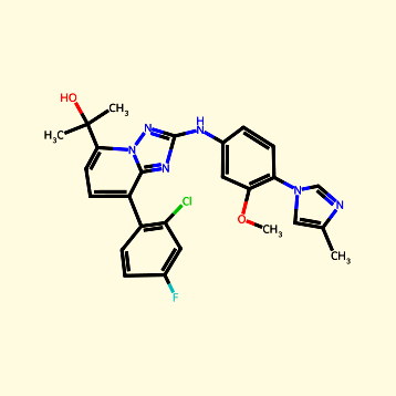 COc1cc(Nc2nc3c(-c4ccc(F)cc4Cl)ccc(C(C)(C)O)n3n2)ccc1-n1cnc(C)c1